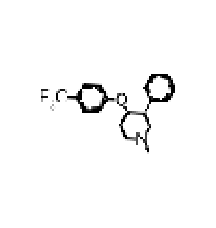 CN1CC[C@@H](Oc2ccc(C(F)(F)F)cc2)[C@@H](c2ccccc2)C1